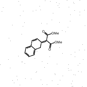 COC(=O)C(C(=O)OC)=C1C=Cc2ccccc2C1